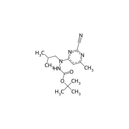 Cc1cc(N(CC(C)C)NC(=O)OC(C)(C)C)nc(C#N)n1